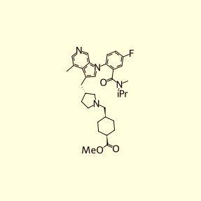 COC(=O)[C@H]1CC[C@@H](CN2CC[C@H](Cc3cn(-c4ccc(F)cc4C(=O)N(C)C(C)C)c4cncc(C)c34)C2)CC1